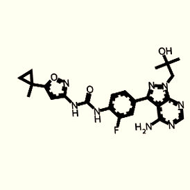 CC(C)(O)Cn1nc(-c2ccc(NC(=O)Nc3cc(C4(C)CC4)on3)c(F)c2)c2c(N)ncnc21